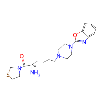 N[C@@H](CCCCN1CCN(c2nc3ccccc3o2)CC1)C(=O)N1CCSC1